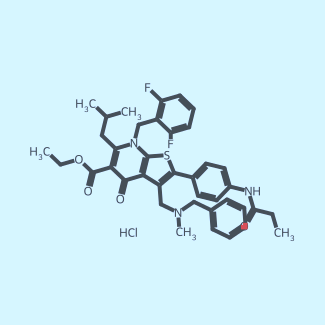 CCOC(=O)c1c(CC(C)C)n(Cc2c(F)cccc2F)c2sc(-c3ccc(NC(=O)CC)cc3)c(CN(C)Cc3ccccc3)c2c1=O.Cl